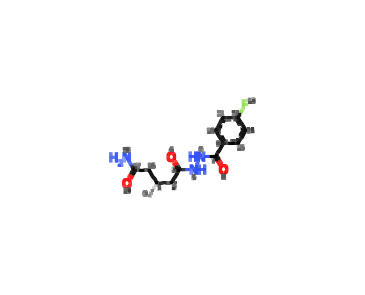 C[C@@H]([CH]C(=O)NNC(=O)c1ccc(F)cc1)CC(N)=O